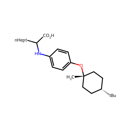 CCCCCCCC(Nc1ccc(O[C@]2(C)CC[C@H](C(C)(C)C)CC2)cc1)C(=O)O